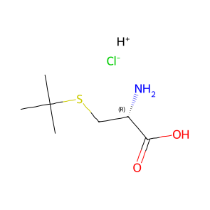 CC(C)(C)SC[C@H](N)C(=O)O.[Cl-].[H+]